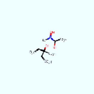 CCN(O)C(O)C(=O)O.O=C(O)CC(O)(CC(=O)O)C(=O)O